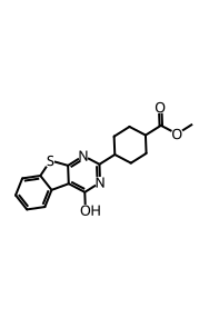 COC(=O)C1CCC(c2nc(O)c3c(n2)sc2ccccc23)CC1